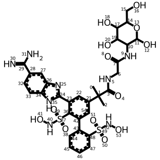 CC(C)(C(=O)NCC(=O)NC1C(O)OC(CO)C(O)C1O)c1cc(-c2nc3cc(C(=N)N)ccc3[nH]2)c(S(=O)(=O)NO)c(-c2ccccc2S(=O)(=O)NO)c1